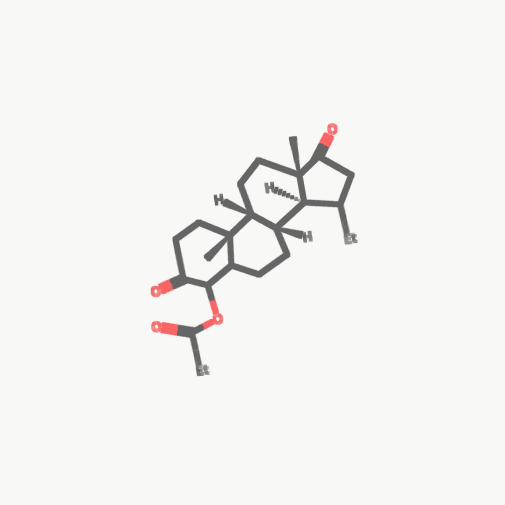 CCC(=O)OC1C(=O)CC[C@@]2(C)C1CC[C@@H]1[C@H]2CC[C@]2(C)C(=O)CC(CC)[C@@H]12